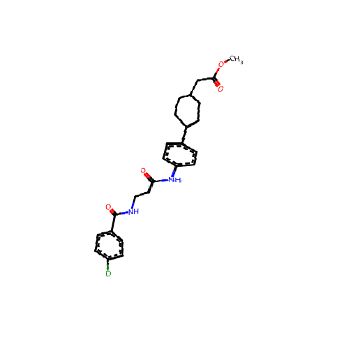 COC(=O)CC1CCC(c2ccc(NC(=O)CCNC(=O)c3ccc(Cl)cc3)cc2)CC1